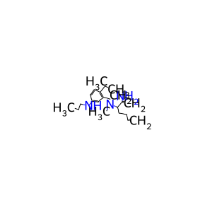 C=CCCC(C(=C)N)N(C)C(=C)c1cc(NCCC)ccc1C(C)C